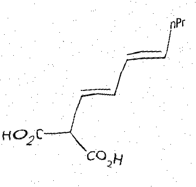 CCC/C=C/C=C/C(C(=O)O)C(=O)O